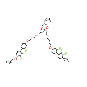 C=CC1COC(CCCCCCCOc2ccc(-c3ccc(C)c(F)c3F)c(F)c2)(CCCCCCCOc2ccc(-c3ccc(OCC)c(F)c3F)c(F)c2)OC1